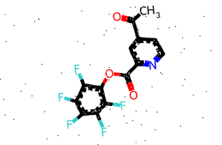 CC(=O)c1ccnc(C(=O)Oc2c(F)c(F)c(F)c(F)c2F)c1